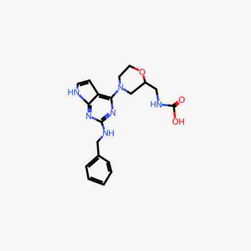 O=C(O)NCC1CN(c2nc(NCc3ccccc3)nc3[nH]ccc23)CCO1